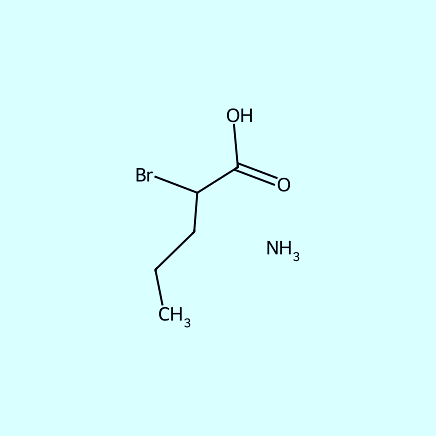 CCCC(Br)C(=O)O.N